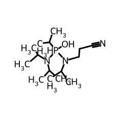 CC(C)N(CCC#N)[PH](O)(C(C)C)N(C(C)C)C(C)C